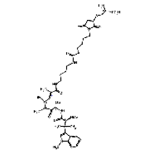 CN[C@H](C(=O)N[C@H](C(=O)N(C)[C@H](/C=C(\C)C(=O)NCCCCNC(=O)CCCCCN1C(=O)CC(SC[C@H](N)C(=O)O)C1=O)C(C)C)C(C)(C)C)C(C)(C)c1cn(C)c2ccccc12